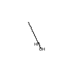 CCCCCCCCCCCCCCCCCCC=CNCCCO